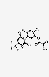 COC(=O)C(=O)Oc1cc(-n2c(=O)cc(C(F)(F)F)n(C)c2=O)c(F)cc1Cl